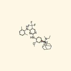 CCN(C)C(=O)C12CC3CC(C1)C(Nc1ccc(Nc4ncc(C(F)(F)F)c(Nc5c(C)cccc5C)n4)c(OC)c1)C(C3)C2